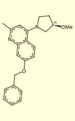 CO[C@@H]1CCN(c2cc(C)nc3cc(OCc4ccccc4)ccc23)C1